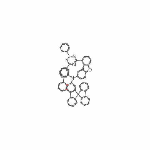 c1ccc(-c2nc(-c3ccccc3)nc(-c3cccc4oc5ccc(N(c6ccc7c(c6)C6(c8ccccc8-c8ccccc86)c6ccccc6-7)c6ccccc6-c6ccccc6)cc5c34)n2)cc1